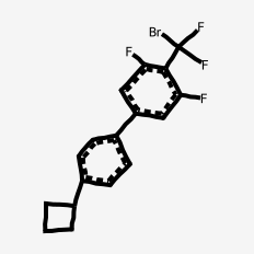 Fc1cc(-c2ccc(C3CCC3)cc2)cc(F)c1C(F)(F)Br